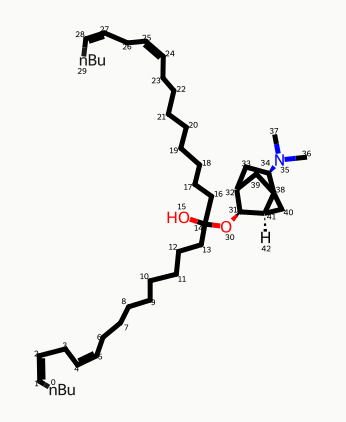 CCCC/C=C\C/C=C\CCCCCCCCC(O)(CCCCCCCC/C=C\C/C=C\CCCC)O[C@H]1C2C[C@@H](N(C)C)C3(C2)C[C@@H]13